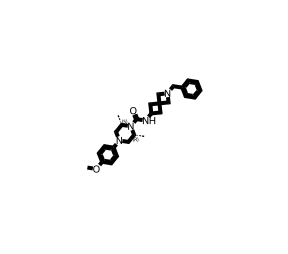 COc1ccc(N2C[C@@H](C)N(C(=O)NC3CC4(C3)CN(Cc3ccccc3)C4)[C@@H](C)C2)cc1